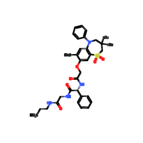 CCCCC1(CCCC)CN(c2ccccc2)c2cc(SC)c(OCC(=O)N[C@@H](C(=O)NCC(=O)NCCS(=O)(=O)O)c3ccccc3)cc2S(=O)(=O)C1